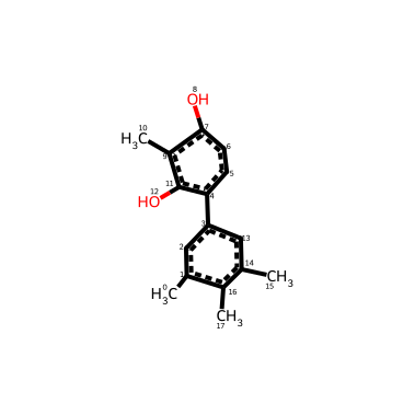 Cc1cc(-c2ccc(O)c(C)c2O)cc(C)c1C